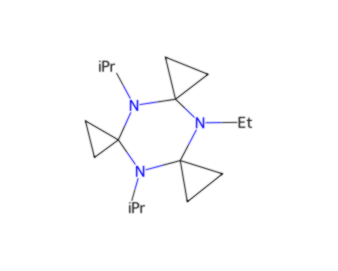 CCN1C2(CC2)N(C(C)C)C2(CC2)N(C(C)C)C12CC2